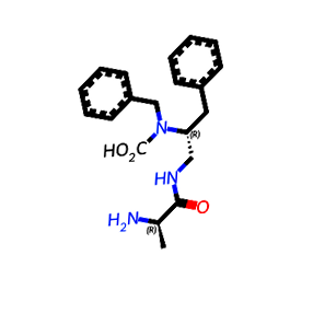 C[C@@H](N)C(=O)NC[C@@H](Cc1ccccc1)N(Cc1ccccc1)C(=O)O